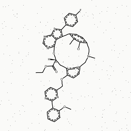 CCOC(=O)[C@H]1Cc2cc(ccc2OCc2ccnc(-c3ccccc3OC)n2)CN(C)Cc2ccc(c(C)c2Cl)-c2c(-c3ccc(F)cc3)sc3ncnc(c23)O1